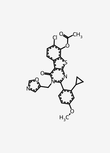 COc1ccc(-c2nc3sc4c(OC(C)=O)c(Cl)ccc4c3c(=O)n2Cc2cnco2)c(C2CC2)c1